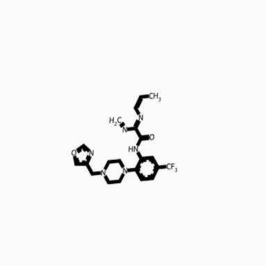 C=N/C(=N\C=C/C)C(=O)Nc1cc(C(F)(F)F)ccc1N1CCN(Cc2cocn2)CC1